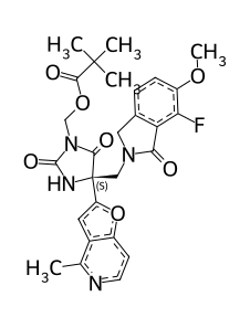 COc1ccc2c(c1F)C(=O)N(C[C@@]1(c3cc4c(C)nccc4o3)NC(=O)N(COC(=O)C(C)(C)C)C1=O)C2